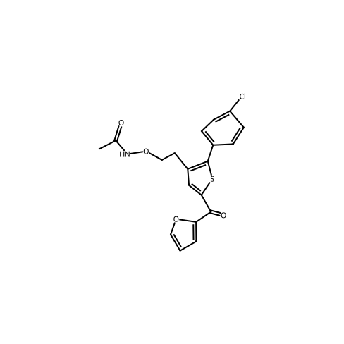 CC(=O)NOCCc1cc(C(=O)c2ccco2)sc1-c1ccc(Cl)cc1